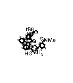 CNC(=O)c1cccc(C(=O)C[C@@H]2[C@@H]([C@@H](C)O)C(=O)N2C(C(=O)OCOC(=O)C(C)(C)C)=P(c2ccccc2)(c2ccccc2)c2ccccc2)c1